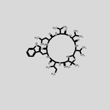 CCC(C)C1NC(=O)C2NC(SC2(C)C)C(C(C)C)NC(=O)C(C(C)C)NC(=O)C(C(C)C)NC(=O)C(CC(C)C)NC(=O)C(Cc2c[nH]c3ccccc23)NC1=O